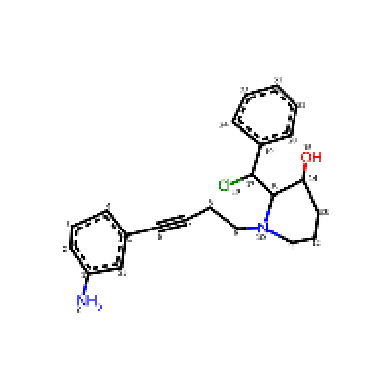 Nc1cccc(C#CCCN2CCCC(O)C2C(Cl)c2ccccc2)c1